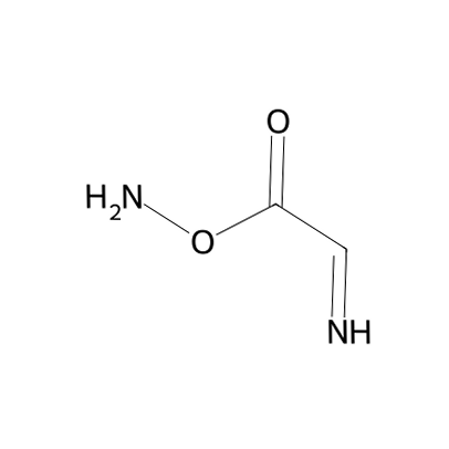 N=CC(=O)ON